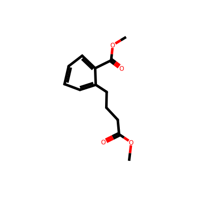 COC(=O)CCCc1ccccc1C(=O)OC